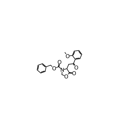 COc1ccccc1C(=O)CC1C(=O)OCN1C(=O)OCc1ccccc1